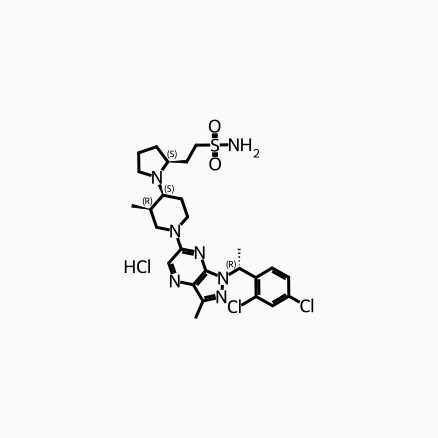 Cc1nn([C@H](C)c2ccc(Cl)cc2Cl)c2nc(N3CC[C@H](N4CCC[C@H]4CCS(N)(=O)=O)[C@H](C)C3)cnc12.Cl